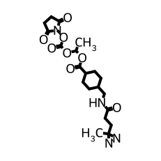 CC(OC(=O)ON1C(=O)CCC1=O)OC(=O)C1CCC(CNC(=O)CCC2(C)N=N2)CC1